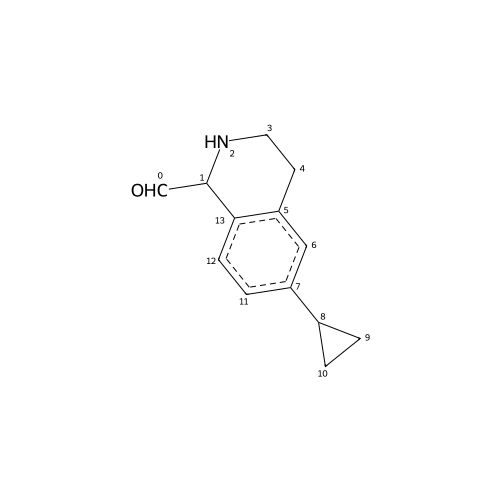 O=CC1NCCc2cc(C3CC3)ccc21